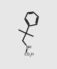 CC(C)(CNC(=O)O)c1ccccc1